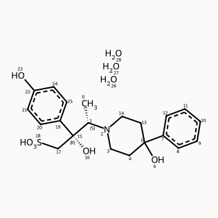 C[C@H](N1CCC(O)(c2ccccc2)CC1)[C@@](O)(CS(=O)(=O)O)c1ccc(O)cc1.O.O.O